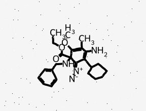 CCOC(=O)C1(NCc2ccccc2)C(=[N+]=[N-])C(C2CCCCC2)=C(N)C(C)=C1OC